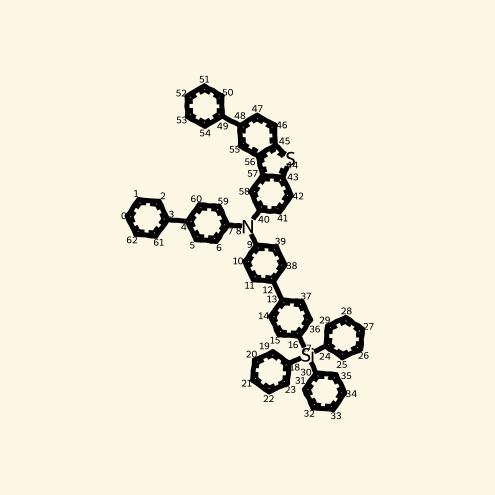 c1ccc(-c2ccc(N(c3ccc(-c4ccc([Si](c5ccccc5)(c5ccccc5)c5ccccc5)cc4)cc3)c3ccc4sc5ccc(-c6ccccc6)cc5c4c3)cc2)cc1